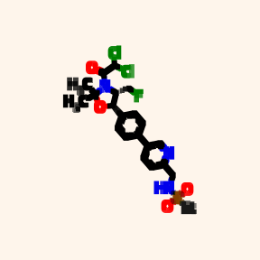 CCS(=O)(=O)NCc1ccc(-c2ccc([C@H]3OC(C)(C)N(C(=O)C(Cl)Cl)[C@@H]3CF)cc2)cn1